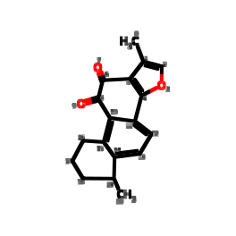 Cc1coc2c1C(=O)C(=O)c1c-2ccc2c1CCCC2C